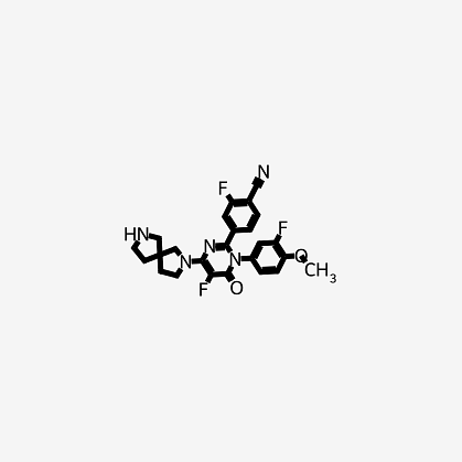 COc1ccc(-n2c(-c3ccc(C#N)c(F)c3)nc(N3CCC4(CCNC4)C3)c(F)c2=O)cc1F